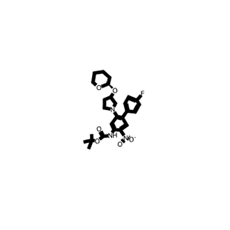 CC(C)(C)OC(=O)Nc1cc(N2CCC(O[C@@H]3CCCCO3)C2)c(-c2ccc(F)cc2)cc1[N+](=O)[O-]